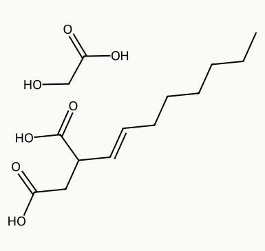 CCCCCCC=CC(CC(=O)O)C(=O)O.O=C(O)CO